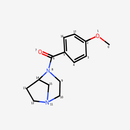 COc1ccc(C(=O)N2CCN3CCC2C3)cc1